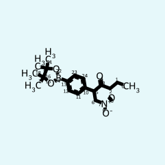 CCCC(=O)C(C[N+](=O)[O-])c1ccc(B2OC(C)(C)C(C)(C)O2)cc1